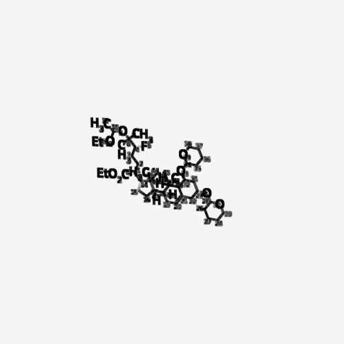 CCOC(=O)[C@H](CC[C@@H](F)C(C)(C)OC(C)OCC)[C@H]1CC[C@H]2[C@@H]3CC=C4C[C@@H](OC5CCCCO5)C[C@H](OC5CCCCO5)[C@]4(C)[C@H]3CC[C@]12C